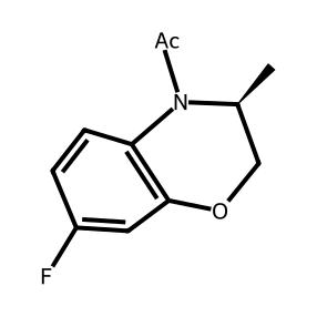 CC(=O)N1c2ccc(F)cc2OC[C@@H]1C